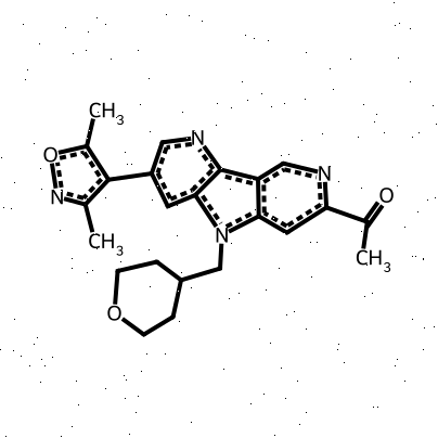 CC(=O)c1cc2c(cn1)c1ncc(-c3c(C)noc3C)cc1n2CC1CCOCC1